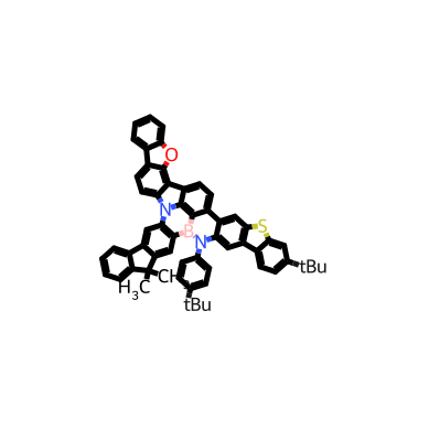 CC(C)(C)c1ccc(N2B3c4cc5c(cc4-n4c6ccc7c8ccccc8oc7c6c6ccc(c3c64)-c3cc4sc6cc(C(C)(C)C)ccc6c4cc32)-c2ccccc2C5(C)C)cc1